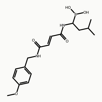 COc1ccc(CNC(=O)C=CC(=O)NC(CC(C)C)B(O)O)cc1